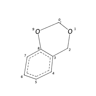 [C]1OCc2ccccc2O1